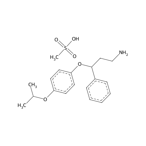 CC(C)Oc1ccc(OC(CCN)c2ccccc2)cc1.CS(=O)(=O)O